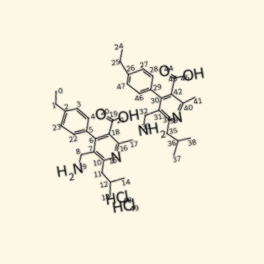 CCc1ccc(-c2c(CN)c(CC(C)C)nc(C)c2C(=O)O)cc1.CCc1ccc(-c2c(CN)c(CC(C)C)nc(C)c2C(=O)O)cc1.Cl.Cl